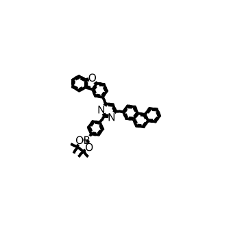 CC1(C)OB(c2ccc(-c3nc(-c4ccc5c(ccc6ccccc65)c4)cc(-c4ccc5oc6ccccc6c5c4)n3)cc2)OC1(C)C